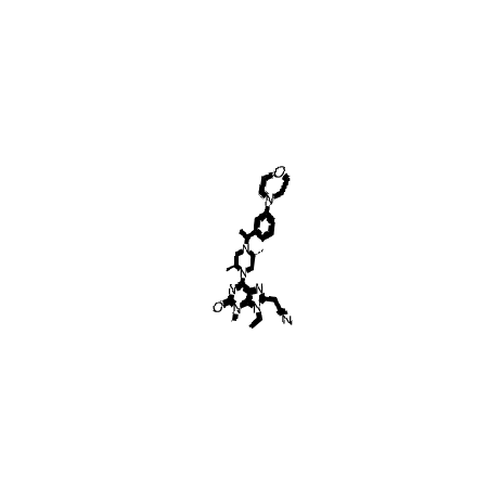 CCn1c(CC#N)nc2c(N3C[C@@H](C)N(C(C)c4cccc(N5CCOCC5)c4)C[C@@H]3C)nc(=O)n(C)c21